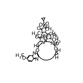 C=C[C@H](C)[C@@](C)(NC(=O)[C@@H]1C[C@@H]2CN1C(=O)[C@H](C(C)(C)C)NC(=O)O[C@@H]1C[C@@H]1CCCCCc1nc3ccc(OC)cc3nc1O2)C(=O)NS(=O)(=O)C1CC1